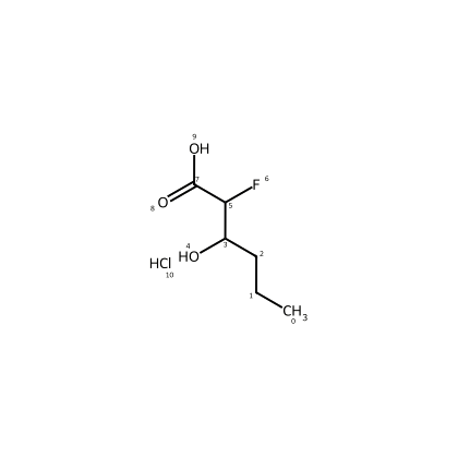 CCCC(O)C(F)C(=O)O.Cl